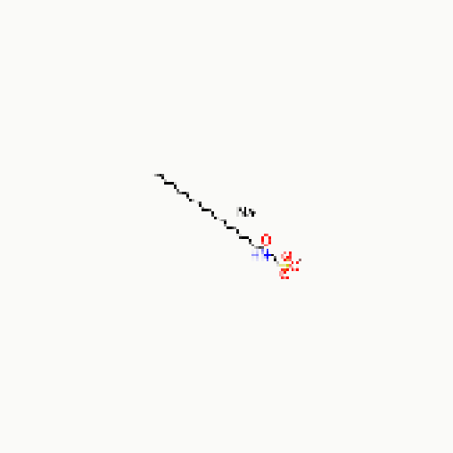 CCCCCCCCCCCCCCCCCC(=O)NCCS(=O)(=O)OC.[Na]